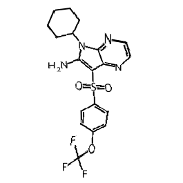 Nc1c(S(=O)(=O)c2ccc(OC(F)(F)F)cc2)c2nccnc2n1C1CCCCC1